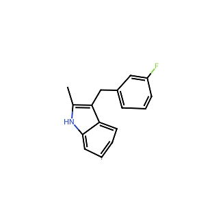 Cc1[nH]c2c[c]ccc2c1Cc1cccc(F)c1